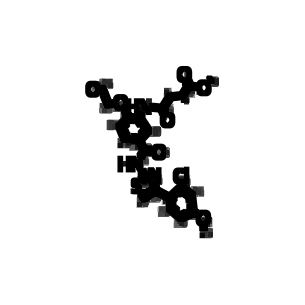 COC(=O)CCC(=O)Nc1cc(C(=O)Nc2nc(-c3ccc(OC)cc3Cl)cs2)ccc1OCC=O